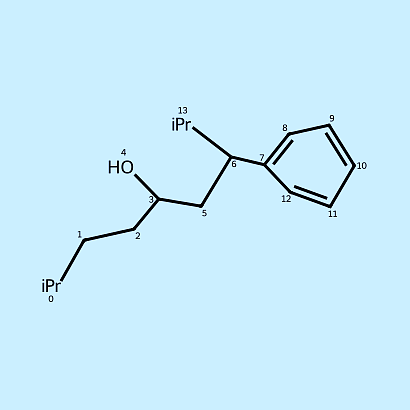 CC(C)CCC(O)CC(c1ccccc1)C(C)C